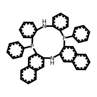 c1ccc(P2c3ccccc3Nc3ccccc3P(c3ccccc3)c3cc4ccccc4cc3Nc3cc4ccccc4cc32)cc1